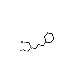 C[CH2][Al]([CH2]C)[CH2]CCN1CCCCC1